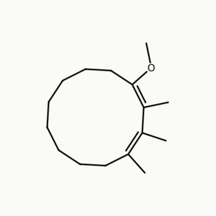 CO/C1=C(C)/C(C)=C(/C)CCCCCCCC1